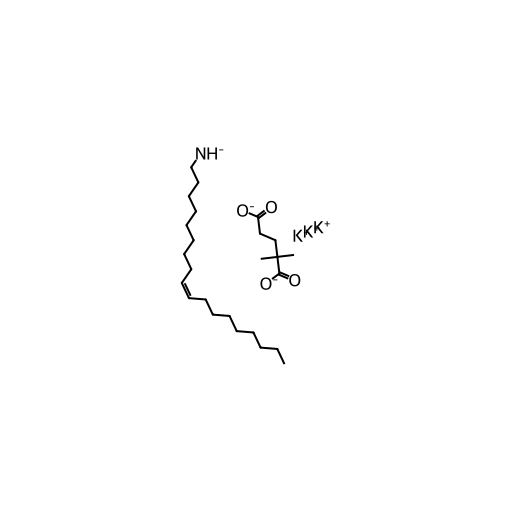 CC(C)(CCC(=O)[O-])C(=O)[O-].CCCCCCCC/C=C\CCCCCCCC[NH-].[K+].[K+].[K+]